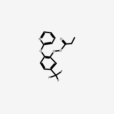 CCC(=O)OOc1cc(C(F)(F)F)ccc1Oc1ccccn1